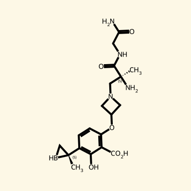 C[C@](N)(CN1CC(Oc2ccc([C@]3(C)BC3)c(O)c2C(=O)O)C1)C(=O)NCC(N)=O